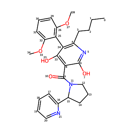 CCCCc1nc(O)c(C(=O)N2CCCC2c2ccccn2)c(O)c1-c1c(OC)cccc1OC